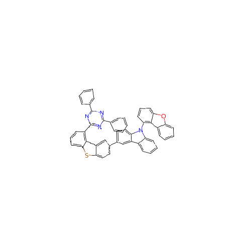 c1ccc(-c2nc(-c3ccccc3)nc(-c3cccc4sc5ccc(-c6ccc7c(c6)c6ccccc6n7-c6cccc7oc8ccccc8c67)cc5c34)n2)cc1